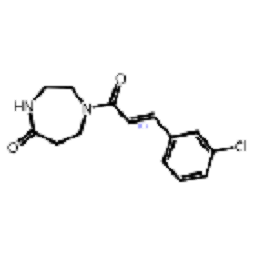 O=C1CCN(C(=O)/C=C/c2cccc(Cl)c2)CCN1